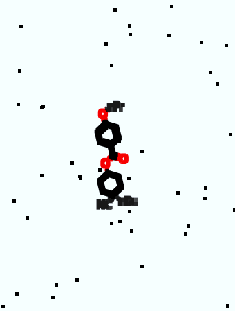 CCCC[C@]1(C#N)CC[C@H](OC(=O)c2ccc(OCCC)cc2)CC1